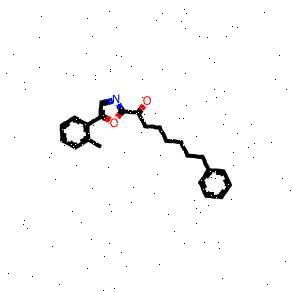 Cc1ccccc1-c1cnc(C(=O)CCCCCCc2ccccc2)o1